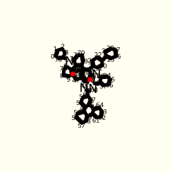 C1=CCCC(n2c3ccccc3c3c(-c4cccc5c4c4ccc(-c6ccccc6)cc4n5-c4ccccc4-c4nc(-c5ccccc5)nc(-c5ccc6c7ccccc7c7ccccc7c6c5)n4)cccc32)=C1